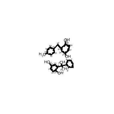 CC(C)(c1ccccc1)c1cc(O)ccc1O.Cc1ccc(Cc2cc(O)ccc2O)cc1